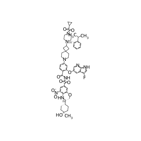 CC(C)c1ccccc1[C@H]1CN(S(=O)(=O)C2CC2)CCN1C1CC2(CCN(c3ccc(C(=O)NS(=O)(=O)c4cc5c(c([N+](=O)[O-])c4)N[C@@H]([C@H]4CC[C@](C)(O)CC4)CO5)c(Oc4cnc5[nH]cc(F)c5c4)c3)CC2)C1